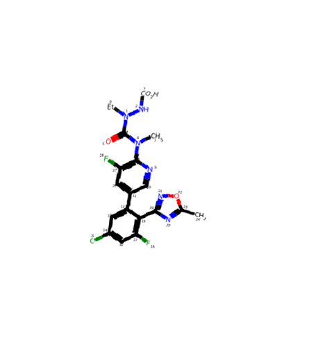 CCN(NC(=O)O)C(=O)N(C)c1ncc(-c2cc(Cl)cc(F)c2-c2noc(C)n2)cc1F